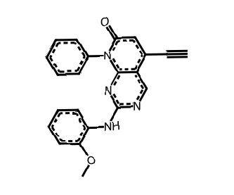 C#Cc1cc(=O)n(-c2ccccc2)c2nc(Nc3ccccc3OC)ncc12